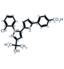 CC(C)(O)c1cc(-c2ccc(-c3ccc(C(=O)O)cc3)s2)n(-c2ccccc2Cl)n1